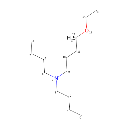 CCCCN(CCCC)CCC[SiH2]OCC